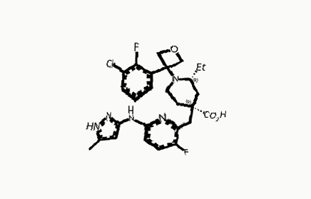 CC[C@@H]1C[C@](Cc2nc(Nc3cc(C)[nH]n3)ccc2F)(C(=O)O)CCN1C1(c2cccc(Cl)c2F)COC1